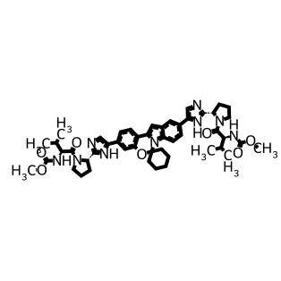 COC(=O)N[C@H](C(=O)N1CCC[C@H]1c1ncc(-c2ccc3c(c2)OC2(CCCCC2)n2c-3cc3cc(-c4cnc([C@@H]5CCCN5C(=O)[C@@H](NC(=O)OC)C(C)C)[nH]4)ccc32)[nH]1)C(C)C